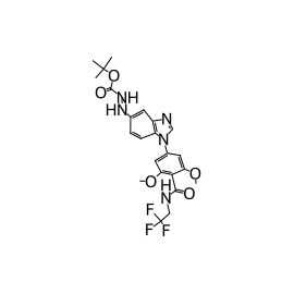 COc1cc(-n2cnc3cc(NNC(=O)OC(C)(C)C)ccc32)cc(OC)c1C(=O)NCC(F)(F)F